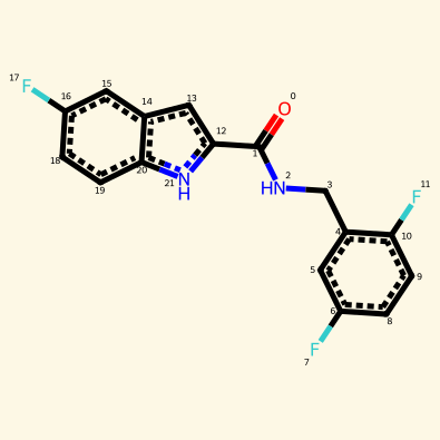 O=C(NCc1cc(F)ccc1F)c1cc2cc(F)ccc2[nH]1